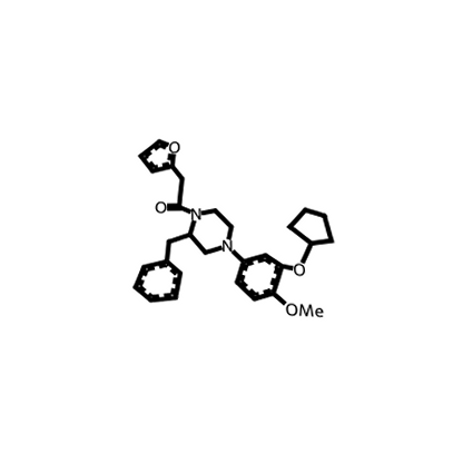 COc1ccc(N2CCN(C(=O)Cc3ccco3)C(Cc3ccccc3)C2)cc1OC1CCCC1